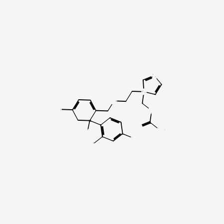 CC(C)(C)C(=O)OC[N+]1(CCOCC2=CC=C(Cl)CC2(Cl)c2ccc(Cl)cc2Cl)C=CN=C1.[Cl-]